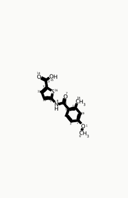 COc1ccc(C(=O)Nc2ccc(C(=O)O)s2)c(C)c1